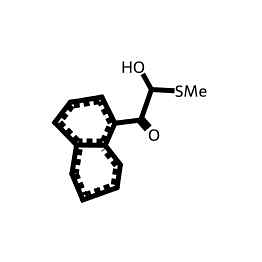 CSC(O)C(=O)c1cccc2ccccc12